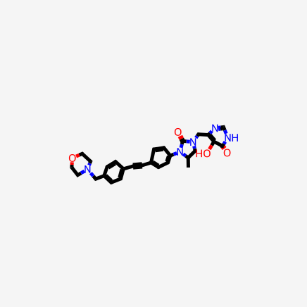 CC1CN(Cc2nc[nH]c(=O)c2O)C(=O)N1c1ccc(C#Cc2ccc(CN3CCOCC3)cc2)cc1